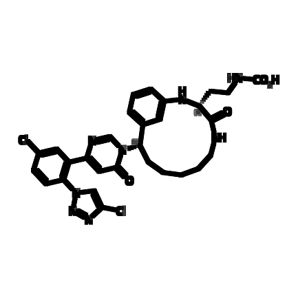 O=C(O)NCC[C@H]1Nc2cccc(c2)[C@@H](n2cnc(-c3cc(Cl)ccc3-n3cc(Cl)nn3)cc2=O)CCCCCNC1=O